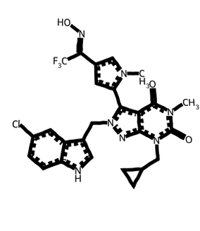 Cn1cc(/C(=N/O)C(F)(F)F)cc1-c1c2c(=O)n(C)c(=O)n(CC3CC3)c2nn1Cc1c[nH]c2ccc(Cl)cc12